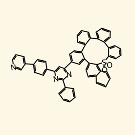 O=S1(=O)c2ccccc2-c2ccccc2-c2ccccc2-c2ccc(-c3cc(-c4ccc(-c5cccnc5)cc4)nc(-c4ccccc4)n3)cc2-c2ccc3ccccc3c21